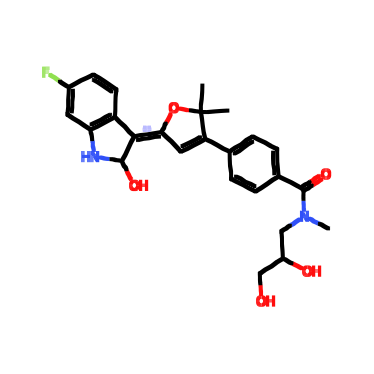 CN(CC(O)CO)C(=O)c1ccc(C2=C/C(=C3/c4ccc(F)cc4NC3O)OC2(C)C)cc1